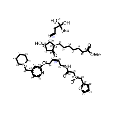 CCCCC(C)(O)C/C=C/[C@H]1[C@H](O)CC(=O)[C@@H]1CCCCCCC(=O)OC.O=C(C[S+]([O-])Cc1ccco1)NC/C=C\COc1cc(CN2CCCCC2)ccn1